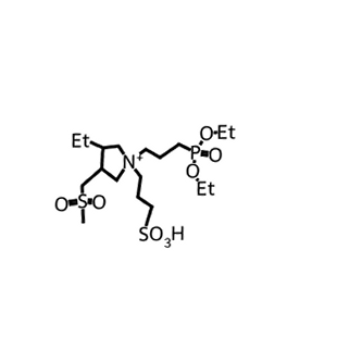 CCOP(=O)(CCC[N+]1(CCCS(=O)(=O)O)CC(CC)C(CS(C)(=O)=O)C1)OCC